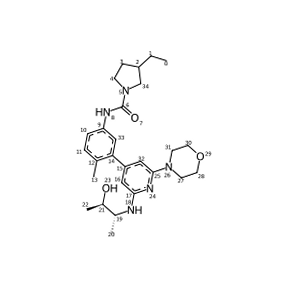 CCC1CCN(C(=O)Nc2ccc(C)c(-c3cc(N[C@H](C)[C@@H](C)O)nc(N4CCOCC4)c3)c2)C1